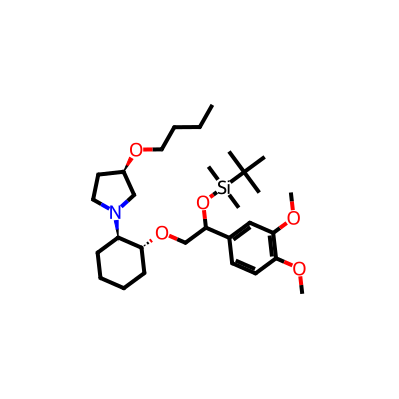 CCCCO[C@@H]1CCN([C@@H]2CCCC[C@H]2OCC(O[Si](C)(C)C(C)(C)C)c2ccc(OC)c(OC)c2)C1